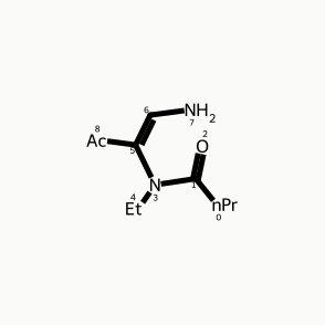 CCCC(=O)N(CC)/C(=C\N)C(C)=O